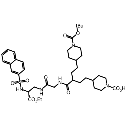 CCOC(=O)[C@H](CNC(=O)CNC(=O)C(CCC1CCN(C(=O)O)CC1)CCC1CCN(C(=O)OC(C)(C)C)CC1)NS(=O)(=O)c1ccc2ccccc2c1